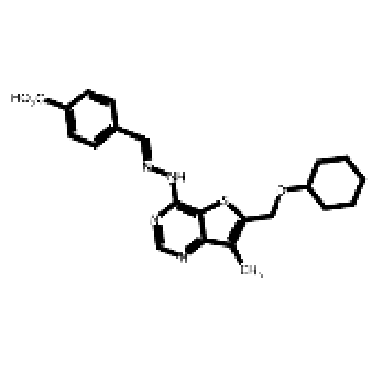 Cc1c(COC2CCCCC2)sc2c(NN=Cc3ccc(C(=O)O)cc3)ncnc12